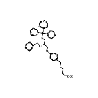 CCCCCCCCCCCCCCc1ccc(OCC(COC(c2ccccc2)(c2ccccc2)c2ccccc2)OCc2ccccc2)cc1